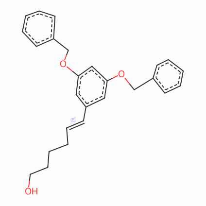 OCCCC/C=C/c1cc(OCc2ccccc2)cc(OCc2ccccc2)c1